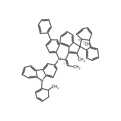 C/C=C(\C1=C(C)C2(c3ccccc31)c1ccccc1C1C=CC=C[C@@]12C)N(c1ccc(-c2ccccc2)cc1)c1ccc2c(c1)c1ccccc1n2C1=CC=CCC1C